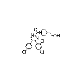 O=C(c1ncc(-c2ccc(Cl)cc2)c(-c2ccc(Cl)cc2Cl)n1)N1CCC(CCO)CC1